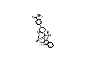 CCCS(=O)(=O)Nc1nc2ccccc2nc1OC(C1CCN(c2ccc(C(N)=O)nc2)CC1)C(F)(F)F